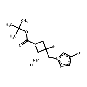 CC(C)(C)OC(=O)N1CC(F)(Cn2cc(Br)cn2)C1.[H-].[Na+]